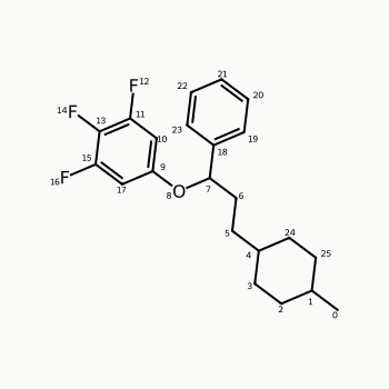 CC1CCC(CCC(Oc2cc(F)c(F)c(F)c2)c2ccccc2)CC1